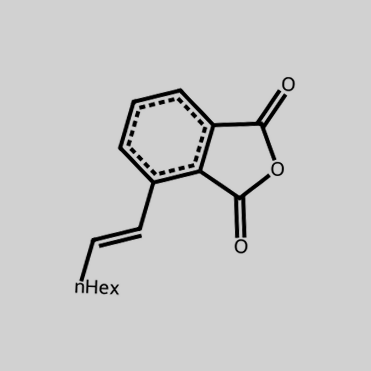 CCCCCC/C=C/c1cccc2c1C(=O)OC2=O